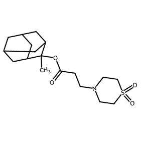 CC1(OC(=O)CCN2CCS(=O)(=O)CC2)C2CC3CC(C2)CC1C3